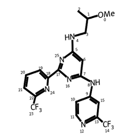 COC(C)CNc1cc(Nc2ccnc(C(F)(F)F)c2)nc(-c2cccc(C(F)(F)F)n2)n1